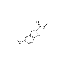 COC(=O)C1Cc2cc(OC)ccc2O1